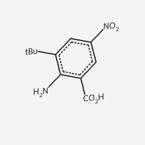 CC(C)(C)c1cc([N+](=O)[O-])cc(C(=O)O)c1N